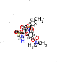 Cc1ccc(S(=O)(=O)N(c2ccc(OC(=O)N(C)C)cc2)[C@@](C)(C(=O)OC(C)C)C(=O)C2C[S+]([O-])CCN2)cc1